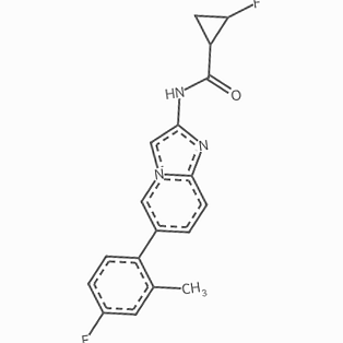 Cc1cc(F)ccc1-c1ccc2nc(NC(=O)C3CC3F)cn2c1